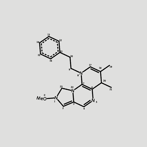 CON1C=C2C=NC3=C(N(CCc4ccccc4)C=C(C)C3C)N2C1